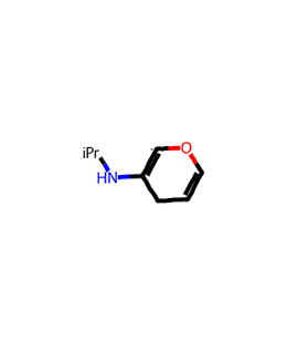 CC(C)NC1=[C]OC=CC1